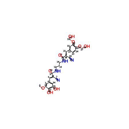 COc1cc(/C=C(\C#N)C(=O)NCCCNC(=O)/C(C#N)=C/c2ccc(OCO)c(OCO)c2)cc(O)c1O